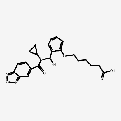 [2H]C(c1ccccc1OCCCCCC(=O)O)N(C(=O)c1ccc2nonc2c1)C1CC1